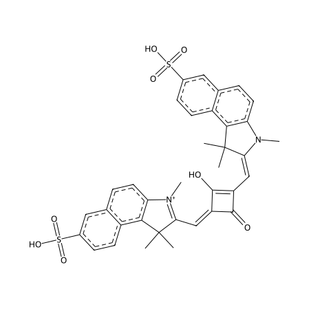 CN1/C(=C/C2=C(O)C(=C\C3=[N+](C)c4ccc5cc(S(=O)(=O)O)ccc5c4C3(C)C)/C2=O)C(C)(C)c2c1ccc1cc(S(=O)(=O)O)ccc21